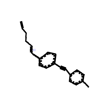 C=CCC/C=C/c1ccc(C#Cc2ccc(C)cc2)cc1